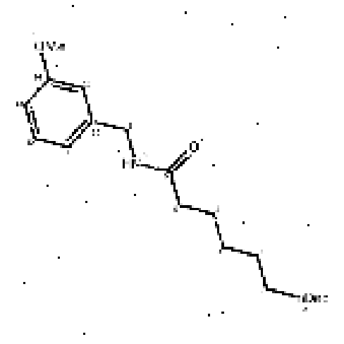 CCCCCCCCCCCCCCCC(=O)NCc1cccc(OC)c1